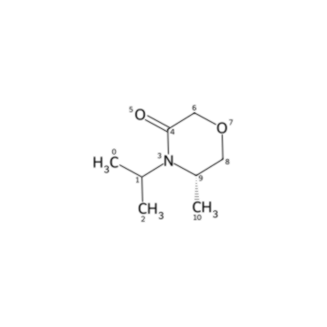 CC(C)N1C(=O)COC[C@@H]1C